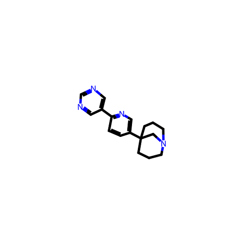 c1ncc(-c2ccc(C34CCCN(CCC3)C4)cn2)cn1